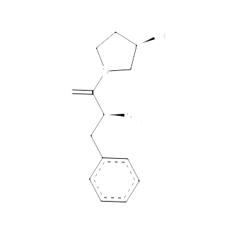 N[C@@H](Cc1ccccc1)C(=O)N1CC[C@@H](O)C1